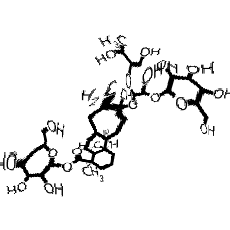 C=C1CC2CCC3[C@](C)(C(=O)OC4OC(CO)C(O)C(O)C4O)CCC[C@@]3(C)[C@@H]2CCC1(C)OC(OC(CO)C(C)O)C(O)OC1OC(CO)C(O)C(O)C1O